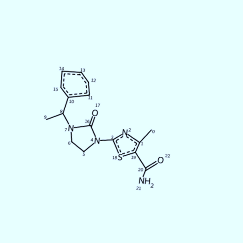 Cc1nc(N2CCN(C(C)c3ccccc3)C2=O)sc1C(N)=O